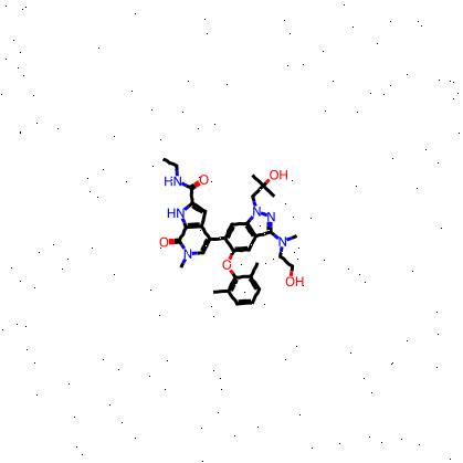 CCNC(=O)c1cc2c(-c3cc4c(cc3Oc3c(C)cccc3C)c(N(C)CCO)nn4CC(C)(C)O)cn(C)c(=O)c2[nH]1